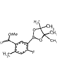 COC(=O)c1cc(B2OC(C)(C)C(C)(C)O2)c(F)cc1C